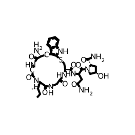 CC[C@H](C)[C@@H]1NC(=O)CNC(=O)[C@H](N)Cc2c([nH]c3ccccc23)SC[C@@H](C(=O)NC(CC(N)=O)C(=O)N2C[C@H](O)C[C@H]2C(N)=O)NC(=O)CNC1=O